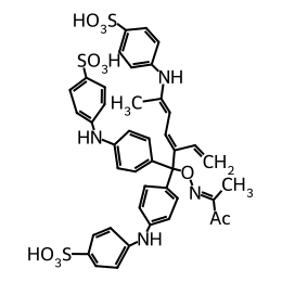 C=C/C(=C\C=C(/C)Nc1ccc(S(=O)(=O)O)cc1)C(O/N=C(\C)C(C)=O)(c1ccc(Nc2ccc(S(=O)(=O)O)cc2)cc1)c1ccc(Nc2ccc(S(=O)(=O)O)cc2)cc1